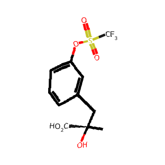 C[C@](O)(Cc1cccc(OS(=O)(=O)C(F)(F)F)c1)C(=O)O